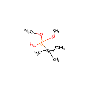 CO[PH](O)(OC)[Si](C)(C)C